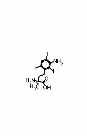 C[C@@](N)(CCc1c(I)cc(I)c(N)c1I)C(=O)O